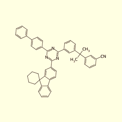 CC(C)(c1cccc(C#N)c1)c1cccc(-c2nc(-c3ccc(-c4ccccc4)cc3)nc(-c3ccc4c(c3)C3(CCCCC3)c3ccccc3-4)n2)c1